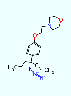 CCCC(CCC)(N=[N+]=[N-])c1ccc(OCCN2CCOCC2)cc1